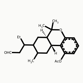 CCC(CC=O)C1C[C@@H]2[C@@H](CC1C)c1c(OC(C)=O)cccc1OC2(C)C